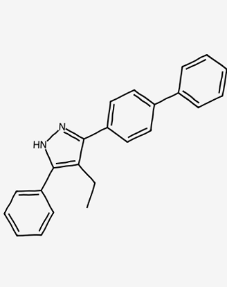 CCc1c(-c2ccc(-c3ccccc3)cc2)n[nH]c1-c1ccccc1